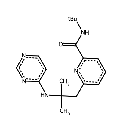 CC(C)(C)NC(=O)c1cccc(CC(C)(C)Nc2ccncn2)n1